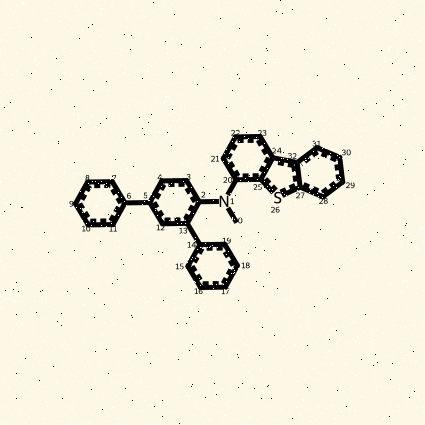 CN(c1ccc(-c2ccccc2)cc1-c1ccccc1)c1cccc2c1sc1ccccc12